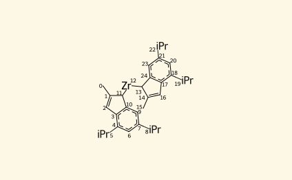 CC1=Cc2c(C(C)C)cc(C(C)C)cc2[CH]1[Zr][CH]1C(C)=Cc2c(C(C)C)cc(C(C)C)cc21